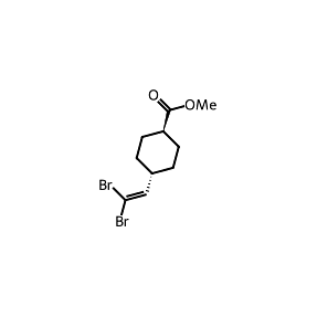 COC(=O)[C@H]1CC[C@H](C=C(Br)Br)CC1